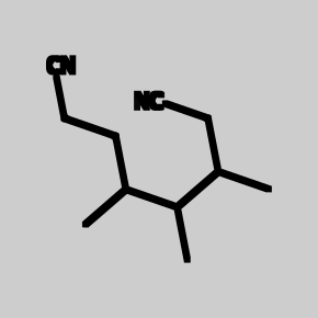 CC(CC#N)C(C)C(C)CCC#N